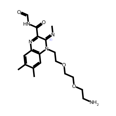 C/N=c1\c(C(=O)NC=O)nc2cc(C)c(C)cc2n1CCOCCOCCN